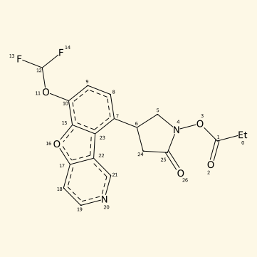 CCC(=O)ON1CC(c2ccc(OC(F)F)c3oc4ccncc4c23)CC1=O